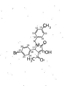 CC(=O)C1=C(O)C(=O)N(Cc2ccc(C)cc2)C1c1ccc(Br)cc1